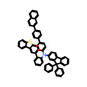 c1ccc(C2(c3ccccc3)c3ccccc3-c3ccc(N(c4ccc(-c5ccc(-c6ccc7ccccc7c6)cc5)cc4)c4ccccc4-c4ccc5sc6ccccc6c5c4)cc32)cc1